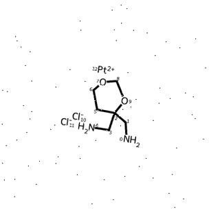 NCC1(CN)CCOCO1.[Cl-].[Cl-].[Pt+2]